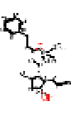 C=CC[C@@H]1[C@@H](CC[C@H](CCc2ccccc2)O[Si](C)(C)C(C)(C)C)[C@H](C)C[C@@H]1O